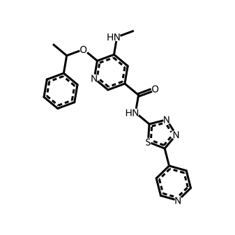 CNc1cc(C(=O)Nc2nnc(-c3ccncc3)s2)cnc1OC(C)c1ccccc1